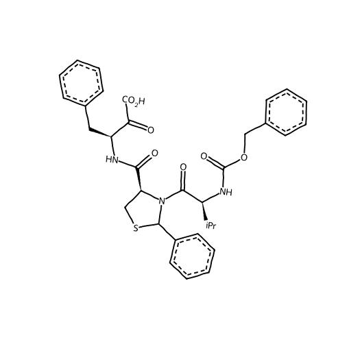 CC(C)[C@H](NC(=O)OCc1ccccc1)C(=O)N1C(c2ccccc2)SC[C@H]1C(=O)N[C@@H](Cc1ccccc1)C(=O)C(=O)O